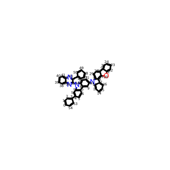 c1ccc(-c2ccc3c4cc(-n5c6ccccc6c6c7oc8ccccc8c7ccc65)ccc4n(-c4nc5ccccc5nc4-c4ccccc4)c3c2)cc1